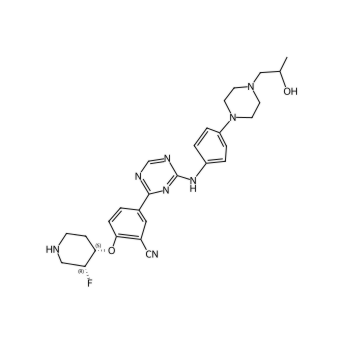 CC(O)CN1CCN(c2ccc(Nc3ncnc(-c4ccc(O[C@H]5CCNC[C@H]5F)c(C#N)c4)n3)cc2)CC1